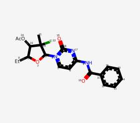 CCC1OC(n2ccc(NC(=O)c3ccccc3)nc2=O)C(C)(F)C1OC(C)=O